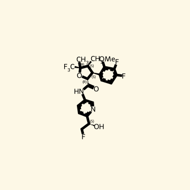 COc1c([C@H]2[C@H](C(=O)Nc3ccc([C@H](O)CF)nc3)O[C@@](C)(C(F)(F)F)[C@H]2C)ccc(F)c1F